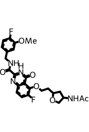 COc1cc(CNC(=O)c2nc3ccc(F)c(OCCC4CC(NC(C)=O)CO4)c3c(=O)[nH]2)ccc1F